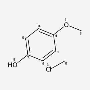 CCl.COc1ccc(O)cc1